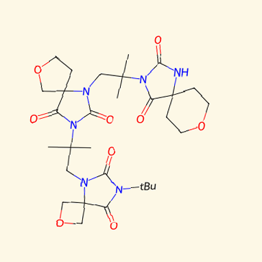 CC(C)(C)N1C(=O)N(CC(C)(C)N2C(=O)N(CC(C)(C)N3C(=O)NC4(CCOCC4)C3=O)C3(CCOC3)C2=O)C2(COC2)C1=O